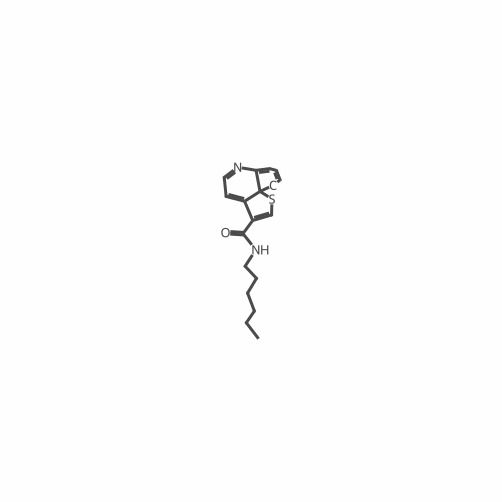 CCCCCCNC(=O)C1=CSC23CC=CC=C2N=CC=C13